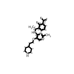 Cc1ncc(OCCC2CCNCC2)c(N[C@H](C)c2cccc(C(F)F)c2F)n1